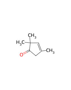 CC1=CC(C)(C)C(=O)C1